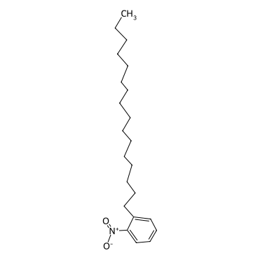 CCCCCCCCCCCCCCCCc1ccccc1[N+](=O)[O-]